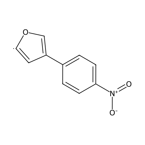 O=[N+]([O-])c1ccc(-c2c[c]oc2)cc1